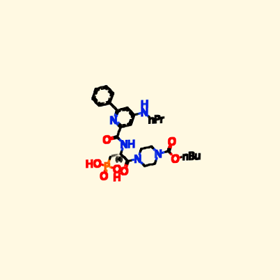 CCCCOC(=O)N1CCN(C(=O)[C@H](CP(=O)(O)O)NC(=O)c2cc(NCCC)cc(-c3ccccc3)n2)CC1